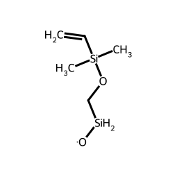 C=C[Si](C)(C)OC[SiH2][O]